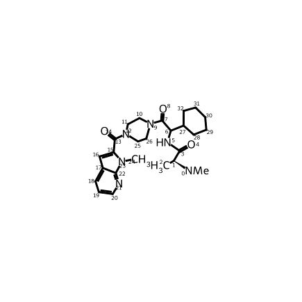 CN[C@@H](C)C(=O)NC(C(=O)N1CCN(C(=O)c2cc3cccnc3n2C)CC1)C1CCCCC1